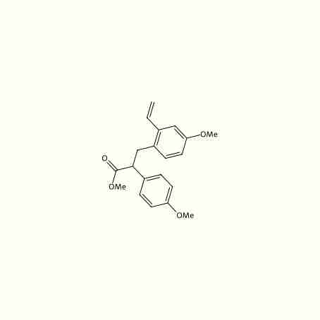 C=Cc1cc(OC)ccc1CC(C(=O)OC)c1ccc(OC)cc1